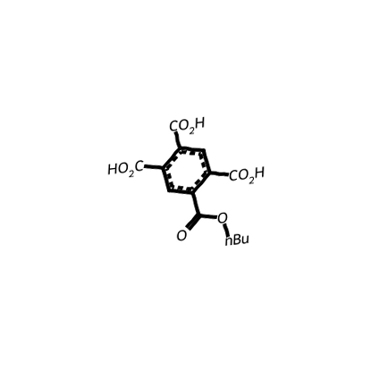 CCCCOC(=O)c1cc(C(=O)O)c(C(=O)O)cc1C(=O)O